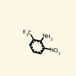 Nc1c([N+](=O)[O-])cccc1C(F)(F)F